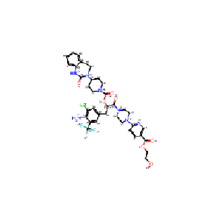 COCCOC(=O)c1ccc(N2CCN(C(=O)[C@@H](Cc3cc(Cl)c(N)c(C(F)(F)F)c3)OC(=O)N3CCC(N4CCc5ccccc5NC4=O)CC3)CC2)nc1